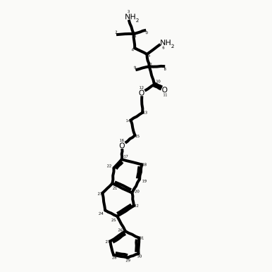 CC(C)(N)CC(N)C(C)(C)C(=O)OCCCOc1ccc2c(c1)CCC(c1ccccc1)=C2